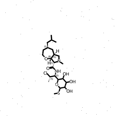 CSC1OC([C@H](NC(=O)[C@@H]2[C@@H]3OCC[C@@H](CC(C)C)C[C@H]3CN2C)[C@H](C)Cl)C(O)C(O)C1O